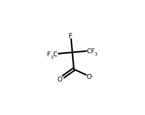 [O]C(=O)C(F)(C(F)(F)F)C(F)(F)F